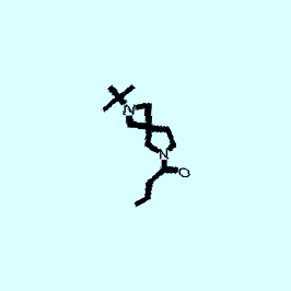 CCCC(=O)N1CCC2(C1)CN(C(C)(C)C)C2